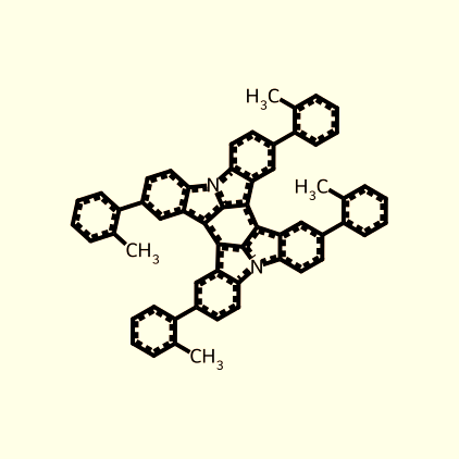 Cc1ccccc1-c1ccc2c(c1)c1c3c4cc(-c5ccccc5C)ccc4n4c5ccc(-c6ccccc6C)cc5c(c5c6cc(-c7ccccc7C)ccc6n2c15)c34